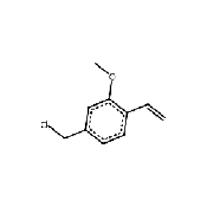 C=Cc1ccc(CCl)cc1OC